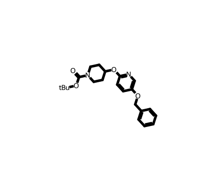 CC(C)(C)OC(=O)N1CCC(Oc2ccc(OCc3ccccc3)cn2)CC1